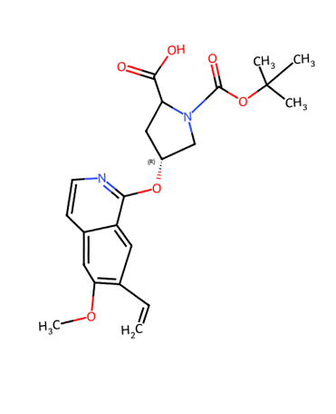 C=Cc1cc2c(O[C@@H]3CC(C(=O)O)N(C(=O)OC(C)(C)C)C3)nccc2cc1OC